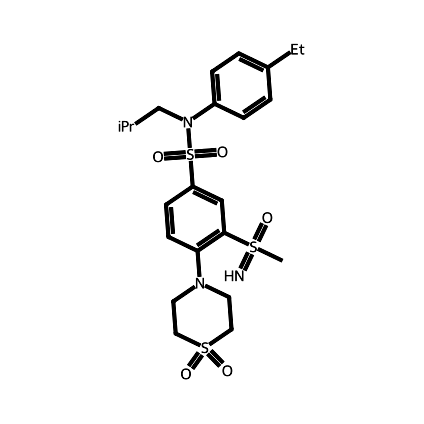 CCc1ccc(N(CC(C)C)S(=O)(=O)c2ccc(N3CCS(=O)(=O)CC3)c(S(C)(=N)=O)c2)cc1